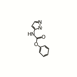 O=C(NC1=CC=N[N]1)Oc1ccccc1